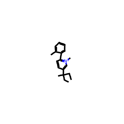 CCC(C)(CC)c1ccc(-c2ccccc2C)[n+](C)c1